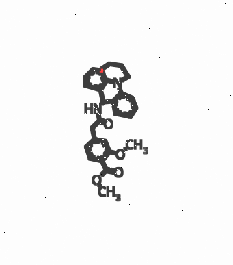 COC(=O)c1ccc(CC(=O)NC(c2ccccc2)c2ccccc2N2CCCCC2)cc1OC